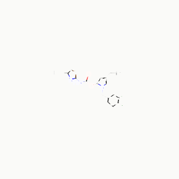 CC(C)Cc1cc(OC(=O)Nc2nc(C(F)(F)F)cs2)n(Cc2ccc(F)c(F)c2)c1